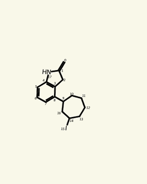 C=C1Cc2c(cccc2C2CCCCC(I)C2)N1